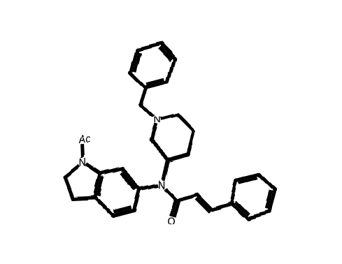 CC(=O)N1CCc2ccc(N(C(=O)C=Cc3ccccc3)C3CCCN(Cc4ccccc4)C3)cc21